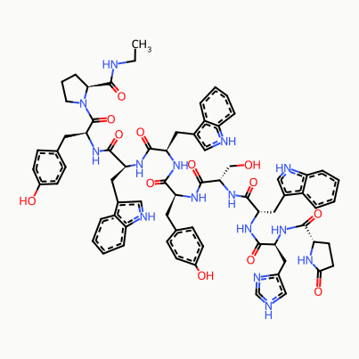 CCNC(=O)[C@@H]1CCCN1C(=O)[C@H](Cc1ccc(O)cc1)NC(=O)[C@H](Cc1c[nH]c2ccccc12)NC(=O)[C@@H](Cc1c[nH]c2ccccc12)NC(=O)[C@H](Cc1ccc(O)cc1)NC(=O)[C@H](CO)NC(=O)[C@H](Cc1c[nH]c2ccccc12)NC(=O)[C@H](Cc1c[nH]cn1)NC(=O)[C@@H]1CCC(=O)N1